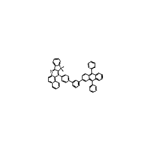 CC1(C)c2ccccc2-c2nc3ccc4ccccc4c3c(-c3ccc(-c4cccc(-c5ccc6c(-c7ccccc7)c7ccccc7c(-c7ccccc7)c6c5)c4)cc3)c21